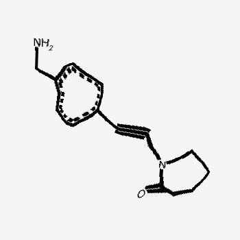 NCc1ccc(C#CN2CCCC2=O)cc1